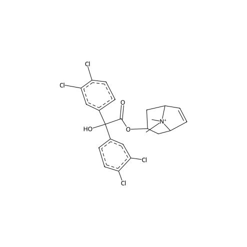 C[N+]1(C)C2C=CC1CC(OC(=O)C(O)(c1ccc(Cl)c(Cl)c1)c1ccc(Cl)c(Cl)c1)C2